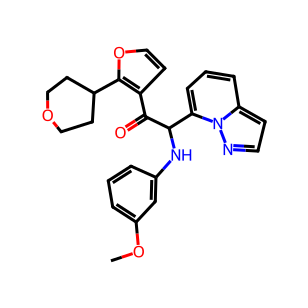 COc1cccc(NC(C(=O)c2ccoc2C2CCOCC2)c2cccc3ccnn23)c1